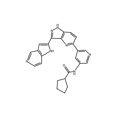 O=C(Nc1cncc(-c2ccc3[nH]nc(-c4cc5cnccc5[nH]4)c3n2)c1)C1CCCC1